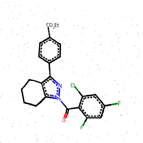 CCOC(=O)c1ccc(-c2nn(C(=O)c3c(F)cc(F)cc3Cl)c3c2CCCC3)cc1